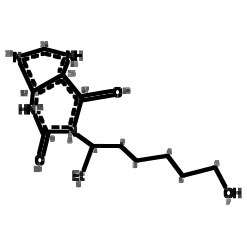 CCC(CCCCCO)n1c(=O)[nH]c2nc[nH]c2c1=O